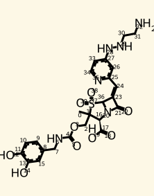 CC1(COC(=O)NCc2ccc(O)c(O)c2)[C@H](C(=O)O)N2C(=O)/C(=C/c3cc(NNCCN)ccn3)C2S1(=O)=O